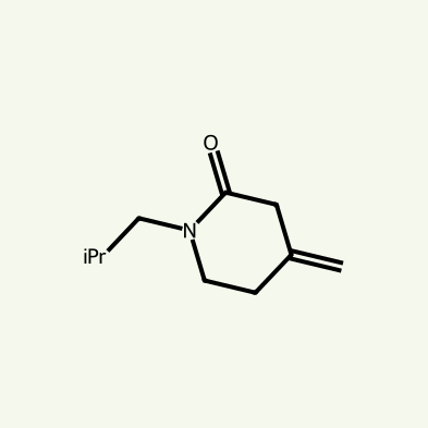 C=C1CCN(CC(C)C)C(=O)C1